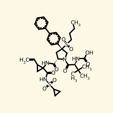 C=CC1CC1(NC(=O)[C@@H]1C[C@](c2ccc(-c3ccccc3)cc2)(S(=O)(=O)CCCC)CN1C(=O)[C@@H](NC(=O)O)C(C)(C)C)C(=O)NS(=O)(=O)C1CC1